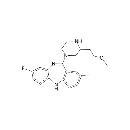 COCCC1CN(C2=Nc3cc(F)ccc3Nc3ccc(C)cc32)CCN1